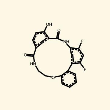 O=C1NCCOc2ccccc2-c2cc(c(F)cc2F)NC(=O)c2cc1ccc2O